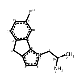 C[C@@H](N)Cn1ccc2c1-c1cc(F)ccc1C2